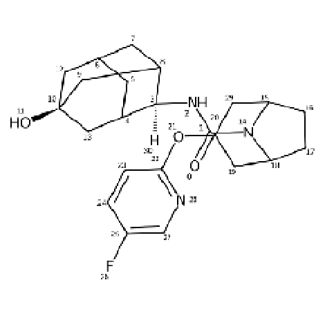 O=C(N[C@H]1C2CC3CC1C[C@@](O)(C3)C2)N1C2CCC1CC(Oc1ccc(F)cn1)C2